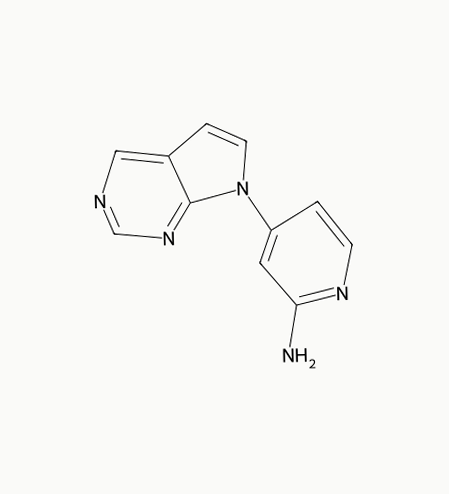 Nc1cc(-n2ccc3cncnc32)ccn1